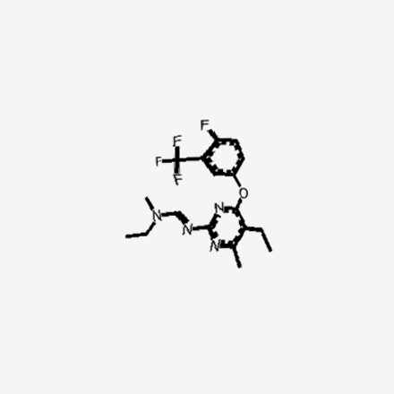 CCc1c(C)nc(N=CN(C)CC)nc1Oc1ccc(F)c(C(F)(F)F)c1